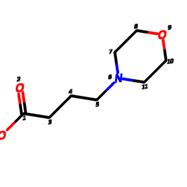 [O]C(=O)CCCN1CCOCC1